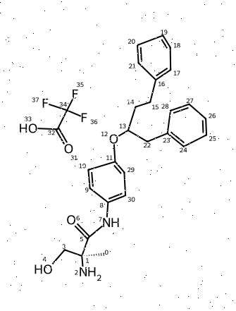 C[C@](N)(CO)C(=O)Nc1ccc(OC(CCc2ccccc2)Cc2ccccc2)cc1.O=C(O)C(F)(F)F